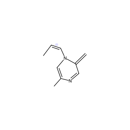 C=C1C=NC(C)=CN1/C=C\C